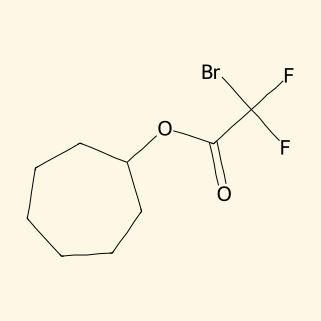 O=C(OC1CCCCCC1)C(F)(F)Br